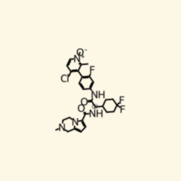 Cc1c(-c2ccc(NC(=O)[C@@H](NC(=O)c3ccc4n3CCN(C)C4)C3CCC(F)(F)CC3)cc2F)c(Cl)cc[n+]1[O-]